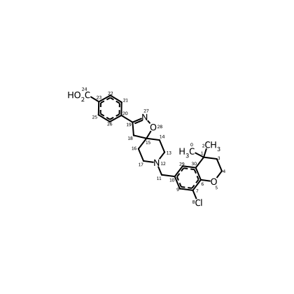 CC1(C)CCOc2c(Cl)cc(CN3CCC4(CC3)CC(c3ccc(C(=O)O)cc3)=NO4)cc21